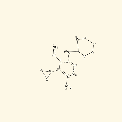 N=Cc1c(NC2CCCCO2)ccc(N)c1C1CC1